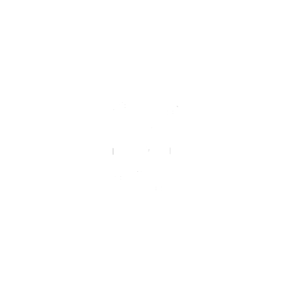 COC(=O)C(F)(F)C(=O)OC